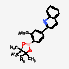 COc1cc(-c2ccc3ccccc3n2)ccc1B1OC(C)(C)C(C)(C)O1